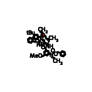 C=CCOCC[C@@H](C)C[C@H](NC(=O)c1cc(COC)cc(N(CC=C)C(=O)OCc2ccccc2)c1)[C@H](O)CN(C(=O)OCc1ccccc1)C1(c2cccc(C(C)(C)C)c2)CC1